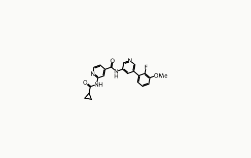 COc1cccc(-c2cncc(NC(=O)c3ccnc(NC(=O)C4CC4)c3)c2)c1F